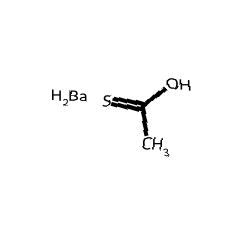 CC(O)=S.[BaH2]